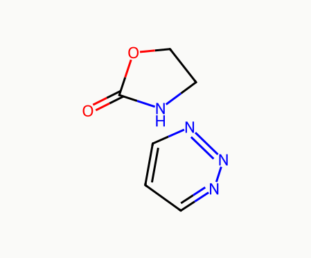 O=C1NCCO1.c1cnnnc1